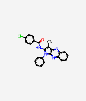 N#Cc1c(NC(=O)c2ccc(Cl)cc2)n(-c2ccccc2)c2nc3ccccc3nc12